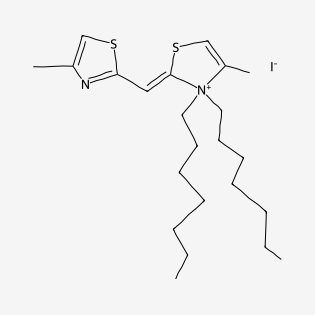 CCCCCCC[N+]1(CCCCCCC)C(C)=CSC1=Cc1nc(C)cs1.[I-]